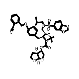 CC(C)CN(C[C@H]1OC(C)(C)N(C(=O)O[C@H]2CO[C@H]3OCC[C@H]32)[C@H]1Cc1ccc(OCc2ccccc2C#N)cc1)S(=O)(=O)c1ccc2c(c1)OCO2